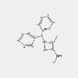 CNC1CN(C(c2ccccc2)c2ccccc2)C1C